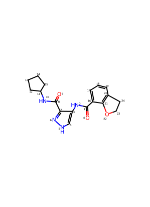 O=C(Nc1c[nH]nc1C(=O)NC1CCCC1)c1cccc2c1OCC2